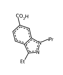 CCc1nn(C(C)C)c2cc(C(=O)O)ccc12